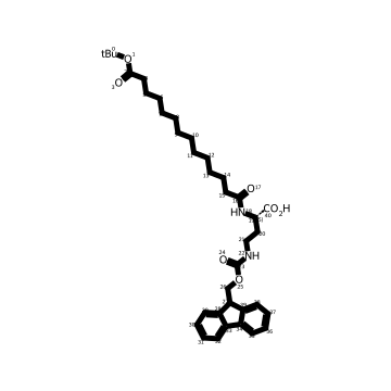 CC(C)(C)OC(=O)CCCCCCCCCCCCC(=O)N[C@@H](CCNC(=O)OCC1c2ccccc2-c2ccccc21)C(=O)O